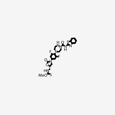 COC(=S)NC[C@H]1CN(c2cc(F)c(N3CCNN(C(=O)Nc4nc5ccccc5s4)CC3)c(F)c2)C(=O)O1